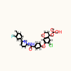 Cc1ccc(-c2cccc(NC(=O)c3ccc(Oc4cc5c(cc4Cl)C(OC(=O)O)CCO5)cc3)n2)cc1F